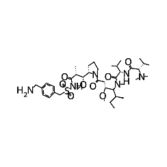 CC[C@H](C)[C@@H]([C@@H](CC(=O)N1CCC[C@H]1[C@H](OC)[C@@H](C)C(=O)NS(=O)(=O)Cc1ccc(CN)cc1)OC)N(C)C(=O)[C@@H](NC(=O)[C@H](C(C)C)N(C)C)C(C)C